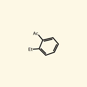 [CH2]C(=O)c1ccccc1CC